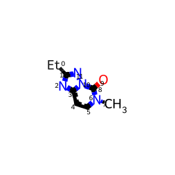 CCc1nc2ccn(C)c(=O)n2n1